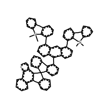 C[Si]1(C)c2ccccc2-c2cccc(-c3cccc4c(-c5cccc6c5-c5ccccc5C65c6ccccc6-c6c5c5ccccc5c5ccccc65)c5cccc(-c6cccc7c6[Si](C)(C)c6ccccc6-7)c5cc34)c21